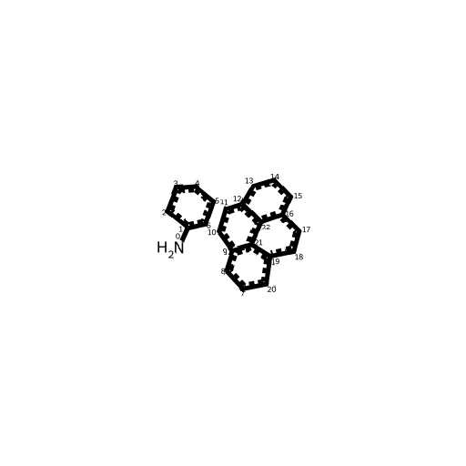 Nc1ccccc1.c1cc2ccc3cccc4ccc(c1)c2c34